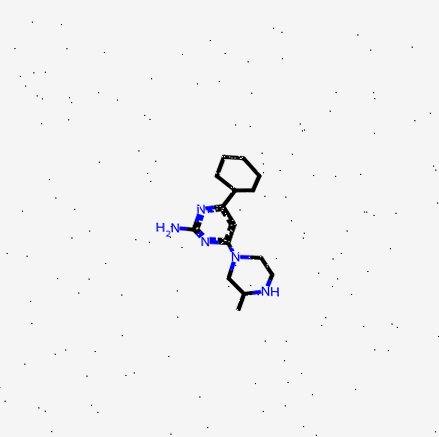 CC1CN(c2cc(C3CCCCC3)nc(N)n2)CCN1